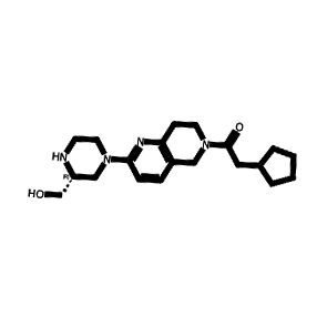 O=C(CC1CCCC1)N1CCc2nc(N3CCN[C@@H](CO)C3)ccc2C1